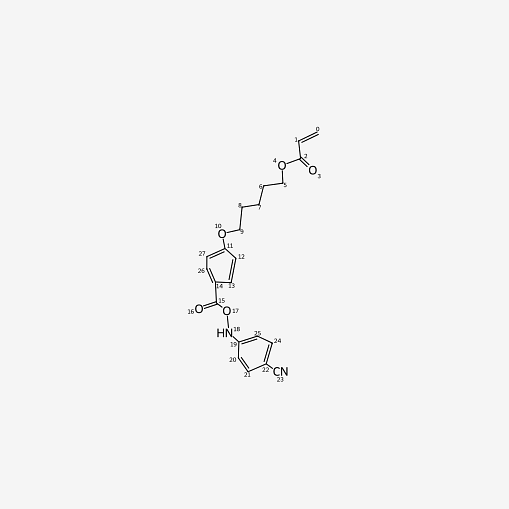 C=CC(=O)OCCCCCOc1ccc(C(=O)ONc2ccc(C#N)cc2)cc1